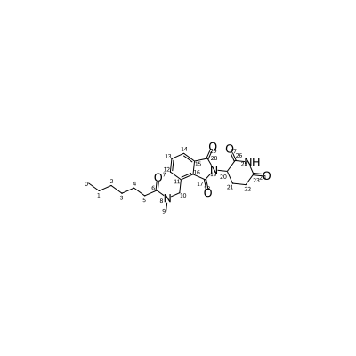 CCCCCCC(=O)N(C)Cc1cccc2c1C(=O)N(C1CCC(=O)NC1=O)C2=O